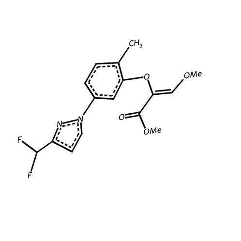 CO/C=C(\Oc1cc(-n2ccc(C(F)F)n2)ccc1C)C(=O)OC